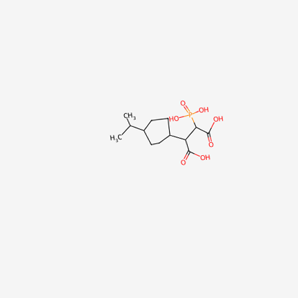 CC(C)C1CCC(C(C(=O)O)C(C(=O)O)P(=O)(O)O)CC1